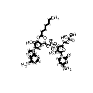 CCCCCCC(=O)O[C@H]1[C@@H](O)[C@H](n2cnc3c(N)ncnc32)O[C@@H]1COP(=O)(O)O[C@H]1[C@@H](O)[C@H](n2ccc(N)nc2=O)O[C@@H]1COP(=O)(O)O